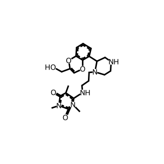 Cc1c(NCCCN2CCNCC2c2cccc3c2OC=C(CO)O3)n(C)c(=O)n(C)c1=O